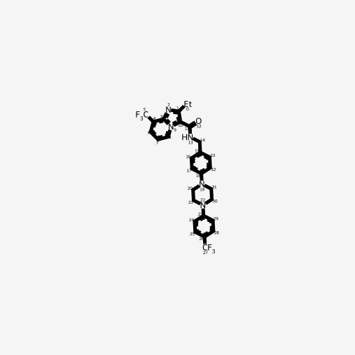 CCc1nc2c(C(F)(F)F)cccn2c1C(=O)NCc1ccc(N2CCN(c3ccc(C(F)(F)F)cc3)CC2)cc1